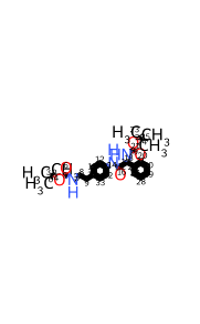 CC(C)(C)OC(=O)NCCc1ccc(NC(=O)C(NC(=O)OC(C)(C)C)c2ccccc2)cc1